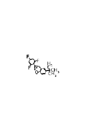 CC(C)(C)c1ccc2c(c1)CN(c1c(F)cc(F)cc1F)CO2